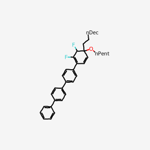 CCCCCCCCCCCCC1(OCCCCC)C=CC(c2ccc(-c3ccc(-c4ccccc4)cc3)cc2)=C(F)C1F